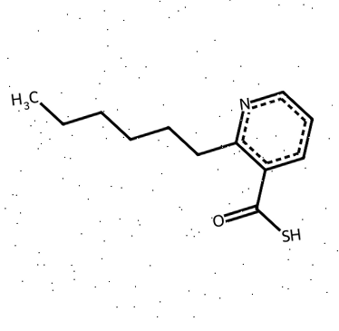 CCCCCCc1ncccc1C(=O)S